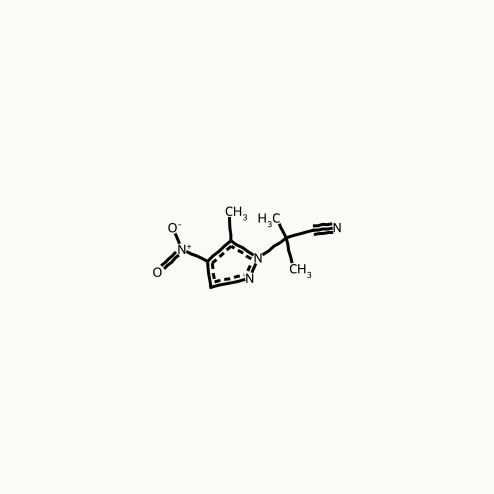 Cc1c([N+](=O)[O-])cnn1C(C)(C)C#N